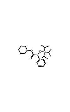 CC(C)[Si](O[C@H](C(=O)OC1CCCCC1)c1ccccc1)(C(C)C)C(C)C